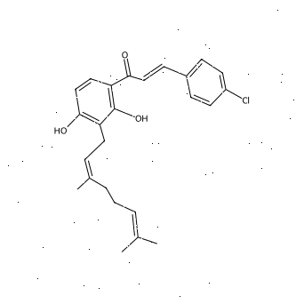 CC(C)=CCCC(C)=CCc1c(O)ccc(C(=O)C=Cc2ccc(Cl)cc2)c1O